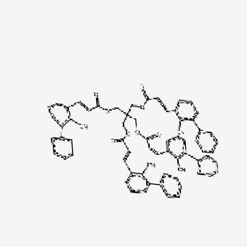 N#Cc1c(C=CC(=O)OCC(COC(=O)C=Cc2cccc(-c3ccccc3)c2C#N)(COC(=O)C=Cc2cccc(-c3ccccc3)c2C#N)COC(=O)C=Cc2cccc(-c3ccccc3)c2C#N)cccc1-c1ccccc1